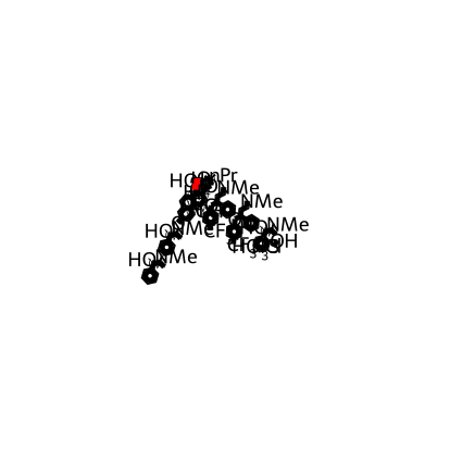 CCC[C@@H]1O[C@@H]2C[C@H]3[C@@H]4CCC5=CC(=O)C=C[C@]5(C)[C@H]4[C@@H](O)C[C@]3(C)[C@]2(C(=O)CO)O1.CNCCC(Oc1ccc(C(F)(F)F)cc1)c1ccccc1.CNCCC(Oc1ccc(C(F)(F)F)cc1)c1ccccc1.CN[C@@H](C)[C@@H](O)c1ccccc1.CN[C@@H](C)[C@@H](O)c1ccccc1.CN[C@@H](C)[C@@H](O)c1ccccc1.Cl.O=S(=O)(O)O